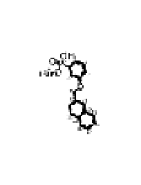 CCC(C)OP(=O)(O)c1cccc(OCc2ccc3ccccc3c2)c1